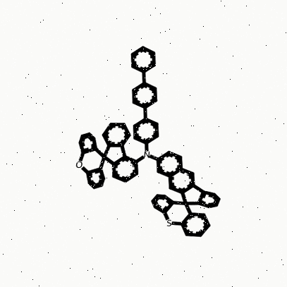 c1ccc(-c2ccc(-c3ccc(N(c4ccc5cc6c(cc5c4)C4(c5ccccc5Sc5ccccc54)c4ccccc4-6)c4cccc5c4-c4ccccc4C54c5ccccc5Oc5ccccc54)cc3)cc2)cc1